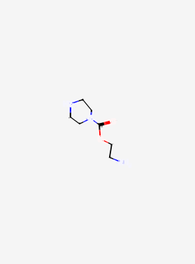 NCCOC(=O)N1CCNCC1